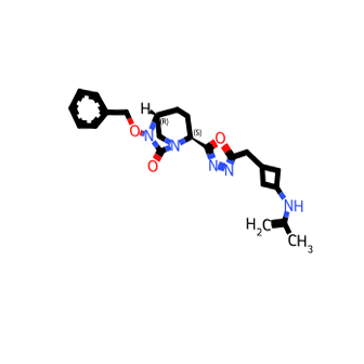 C=C(C)NC1CC(Cc2nnc([C@@H]3CC[C@@H]4CN3C(=O)N4OCc3ccccc3)o2)C1